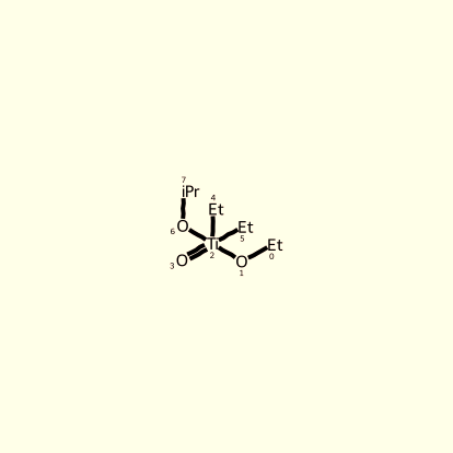 CC[O][Ti](=[O])([CH2]C)([CH2]C)[O]C(C)C